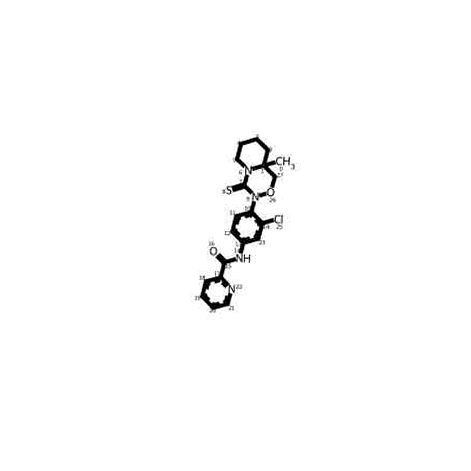 CC12CCCCN1C(=S)N(c1ccc(NC(=O)c3ccccn3)cc1Cl)OC2